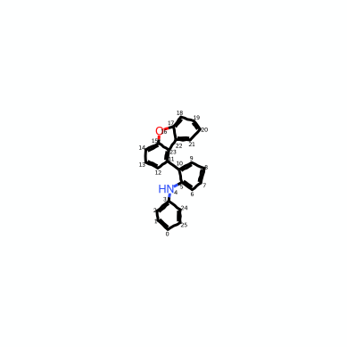 c1ccc(Nc2ccccc2-c2cccc3oc4ccccc4c23)cc1